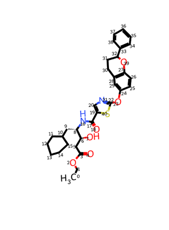 CCOC(=O)C[C@H](O)[C@H](CC1CCCCC1)NC(=O)c1cnc(Oc2ccc3c(c2)CCC(c2ccccc2)O3)s1